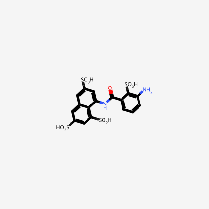 Nc1cccc(C(=O)Nc2cc(S(=O)(=O)O)cc3cc(S(=O)(=O)O)cc(S(=O)(=O)O)c23)c1S(=O)(=O)O